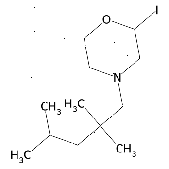 CC(C)CC(C)(C)CN1CCOC(I)C1